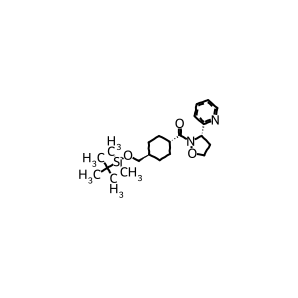 CC(C)(C)[Si](C)(C)OC[C@H]1CC[C@H](C(=O)N2OCC[C@H]2c2ccccn2)CC1